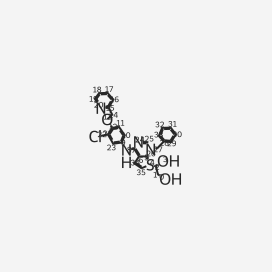 OCC(O)S1=C2C(=C(Nc3ccc(OCc4ccccn4)c(Cl)c3)N=CN2Cc2ccccc2)C=C1